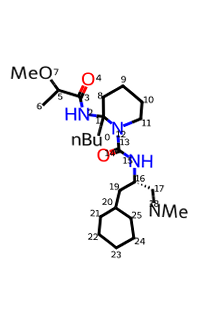 CCCCC1(NC(=O)C(C)OC)CCCCN1C(=O)N[C@H](CNC)CC1CCCCC1